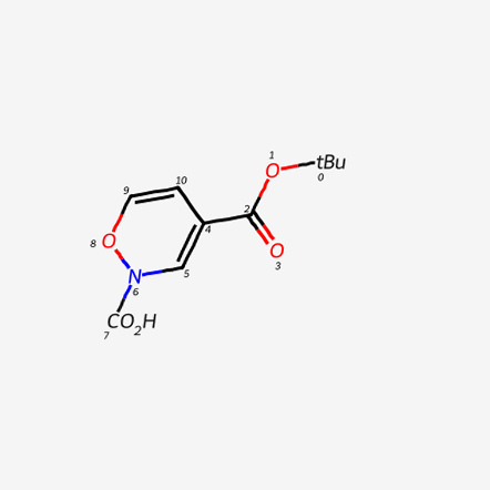 CC(C)(C)OC(=O)C1=CN(C(=O)O)OC=C1